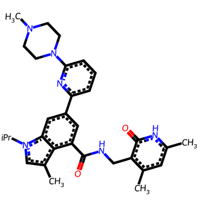 Cc1cc(C)c(CNC(=O)c2cc(-c3cccc(N4CCN(C)CC4)n3)cc3c2c(C)cn3C(C)C)c(=O)[nH]1